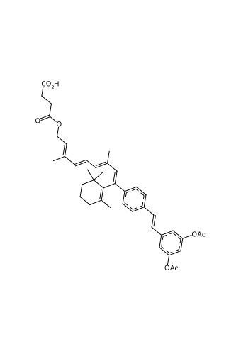 CC(=O)Oc1cc(C=Cc2ccc(C(=CC(C)=CC=CC(C)=CCOC(=O)CCC(=O)O)C3=C(C)CCCC3(C)C)cc2)cc(OC(C)=O)c1